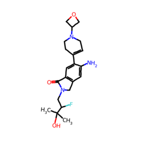 CC(C)(O)C(F)CN1Cc2cc(N)c(C3=CCN(C4COC4)CC3)cc2C1=O